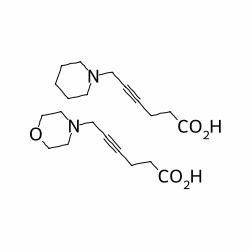 O=C(O)CCC#CCN1CCCCC1.O=C(O)CCC#CCN1CCOCC1